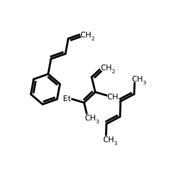 C=CC(C)=C(C)CC.C=CC=Cc1ccccc1.CC=CC=CC